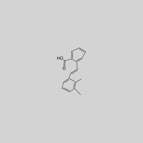 Cc1cccc(C=Cc2ccccc2C(=O)O)c1C